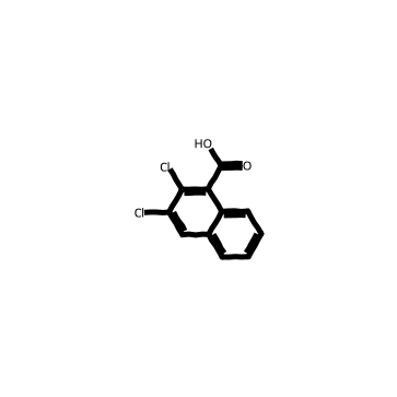 O=C(O)c1c(Cl)c(Cl)cc2ccccc12